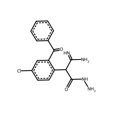 N=C(N)C(C(=O)NN)c1ccc(Cl)cc1C(=O)c1ccccc1